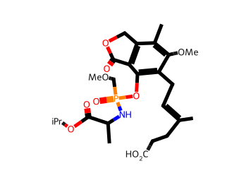 COCP(=O)(NC(C)C(=O)OC(C)C)Oc1c(C/C=C(\C)CCC(=O)O)c(OC)c(C)c2c1C(=O)OC2